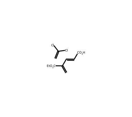 C=C(C=CC(=O)O)C(=O)OCC.C=C(Cl)Cl